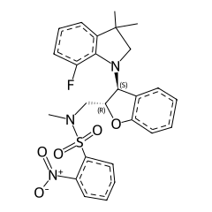 CN(C[C@H]1Oc2ccccc2[C@@H]1N1CC(C)(C)c2cccc(F)c21)S(=O)(=O)c1ccccc1[N+](=O)[O-]